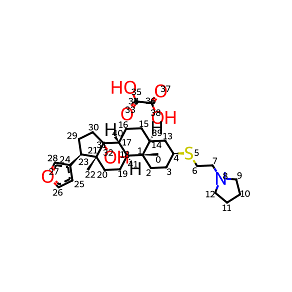 C[C@]12CC[C@H](SCCN3CCCC3)C[C@@H]1CC[C@@H]1[C@@H]2CC[C@]2(C)[C@@H](c3ccoc3)CC[C@]12O.O=C(O)C(=O)O